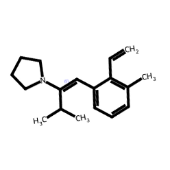 C=Cc1c(C)cccc1/C=C(\C(C)C)N1CCCC1